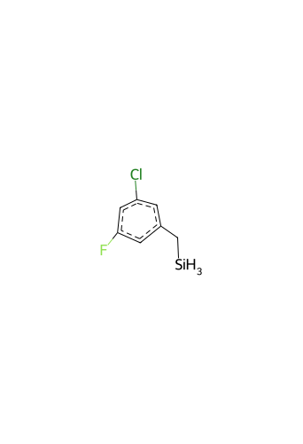 Fc1cc(Cl)cc(C[SiH3])c1